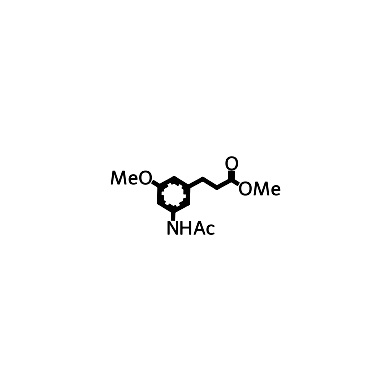 COC(=O)CCc1cc(NC(C)=O)cc(OC)c1